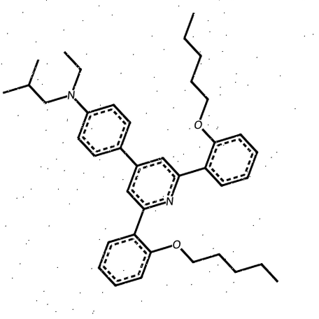 CCCCCOc1ccccc1-c1cc(-c2ccc(N(CC)CC(C)C)cc2)cc(-c2ccccc2OCCCCC)n1